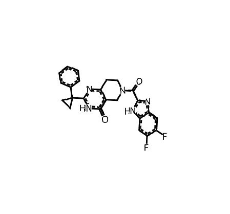 O=C(c1nc2cc(F)c(F)cc2[nH]1)N1CCc2nc(C3(c4ccccc4)CC3)[nH]c(=O)c2C1